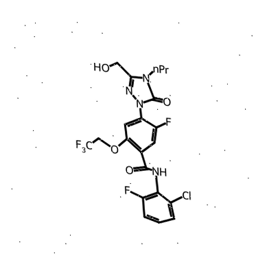 CCCn1c(CO)nn(-c2cc(OCC(F)(F)F)c(C(=O)Nc3c(F)cccc3Cl)cc2F)c1=O